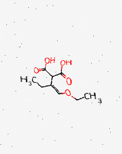 CCOC=C(CC)C(C(=O)O)C(=O)O